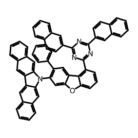 c1ccc(-c2cc3c(cc2-n2c4cc5ccccc5cc4c4cc5ccccc5cc42)oc2cccc(-c4nc(-c5ccc6ccccc6c5)nc(-c5ccc6ccccc6c5)n4)c23)cc1